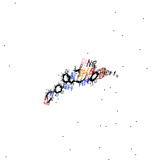 BC(P)Cn1c(C#CCNc2ccc(S(C)(=O)=O)cc2OCC#N)cc2c1=CCCC=2NC1CCC(N2CCOCC2)CC1